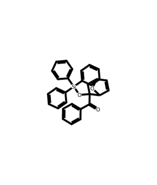 O=C(c1ccccc1)C1(O[Si](c2ccccc2)(c2ccccc2)c2ccccc2)CC2C=CC1O2